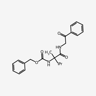 CC(C)C(C)(NC(=O)OCc1ccccc1)C(=O)NCC(=O)c1ccccc1